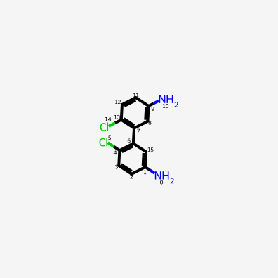 Nc1ccc(Cl)c(-c2cc(N)ccc2Cl)c1